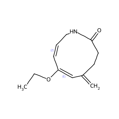 C=C1/C=C(OCC)\C=C/CNC(=O)CC1